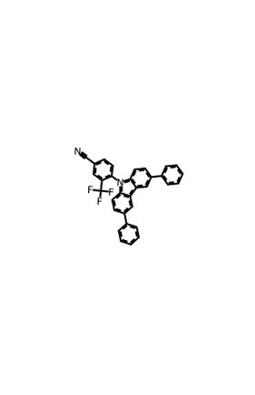 N#Cc1ccc(-n2c3ccc(-c4ccccc4)cc3c3cc(-c4ccccc4)ccc32)c(C(F)(F)F)c1